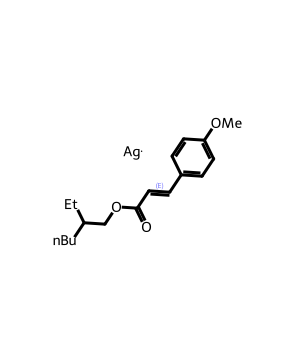 CCCCC(CC)COC(=O)/C=C/c1ccc(OC)cc1.[Ag]